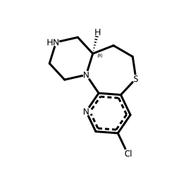 Clc1cnc2c(c1)SCC[C@@H]1CNCCN21